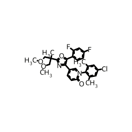 COCC(C)(COC)c1nc(-c2ccc(=O)n(-c3c(C)cc(Cl)cc3C)c2)c(-c2ccc(F)cc2F)o1